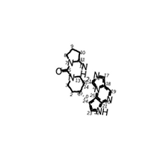 C[C@@H]1CCN(C(=O)N2CCC[C@H]2N)C[C@@H]1c1ncc2cnc3[nH]ccc3n12